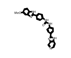 COc1ccc2[nH]c(-c3ccc(NC(=O)Nc4ccc(-c5nc6cnccc6[nH]5)cc4)cc3)nc2c1